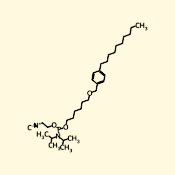 [C-]#[N+]CCOP(OCCCCCCOCc1ccc(CCCCCCCCCC)cc1)N(C(C)C)C(C)C